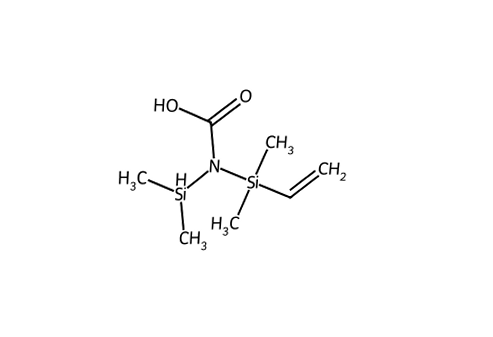 C=C[Si](C)(C)N(C(=O)O)[SiH](C)C